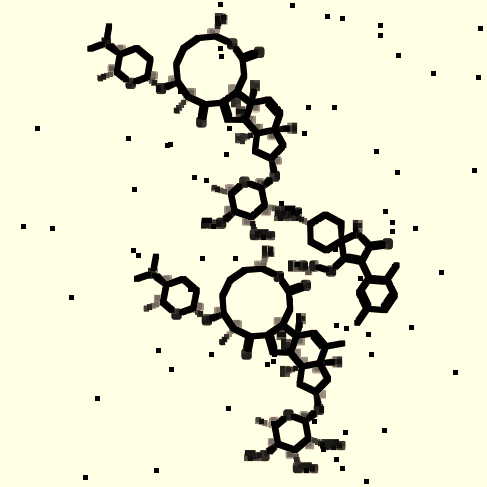 CCOC(=O)OC1=C(c2cc(C)ccc2C)C(=O)N[C@]12CC[C@@H](OC)CC2.CC[C@H]1CCC[C@H](O[C@H]2CC[C@H](N(C)C)[C@@H](C)O2)[C@@H](C)C(=O)C2=C[C@@H]3[C@@H](C=C(C)[C@@H]4C[C@@H](O[C@@H]5O[C@@H](C)[C@H](OC)[C@@H](OC)[C@H]5OC)C[C@@H]34)[C@@H]2CC(=O)O1.CC[C@H]1CCC[C@H](O[C@H]2CC[C@H](N(C)C)[C@@H](C)O2)[C@@H](C)C(=O)C2=C[C@@H]3[C@@H](C=C[C@@H]4C[C@@H](O[C@@H]5O[C@@H](C)[C@H](OC)[C@@H](OC)[C@H]5OC)C[C@@H]34)[C@@H]2CC(=O)O1